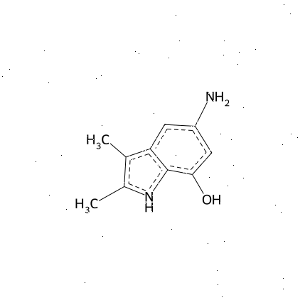 Cc1[nH]c2c(O)cc(N)cc2c1C